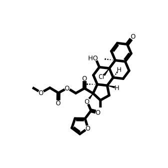 COCC(=O)OCC(=O)[C@@]1(OC(=O)c2ccco2)C(C)C[C@H]2[C@@H]3CCC4=CC(=O)C=C[C@]4(C)[C@@]3(Cl)C(O)C[C@@]21C